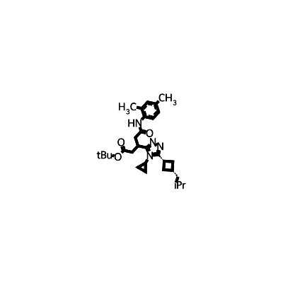 Cc1ccc(NC(=O)CC(CC(=O)OC(C)(C)C)c2nnc([C@H]3C[C@@H](CC(C)C)C3)n2C2CC2)c(C)c1